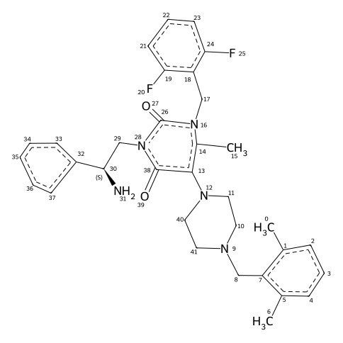 Cc1cccc(C)c1CN1CCN(c2c(C)n(Cc3c(F)cccc3F)c(=O)n(C[C@@H](N)c3ccccc3)c2=O)CC1